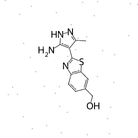 Cc1n[nH]c(N)c1-c1nc2ccc(CO)cc2s1